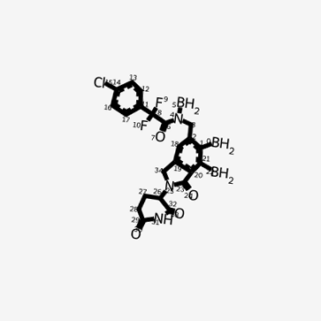 Bc1c(CN(B)C(=O)C(F)(F)c2ccc(Cl)cc2)cc2c(c1B)C(=O)N(C1CCC(=O)NC1=O)C2